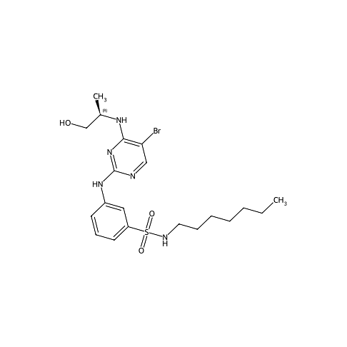 CCCCCCCNS(=O)(=O)c1cccc(Nc2ncc(Br)c(N[C@H](C)CO)n2)c1